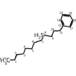 CCCCCCCC[SiH2]CCCc1ccccc1